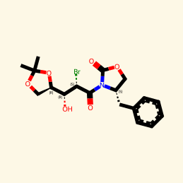 CC1(C)OC[C@H]([C@@H](O)[C@H](Br)C(=O)N2C(=O)OC[C@@H]2Cc2ccccc2)O1